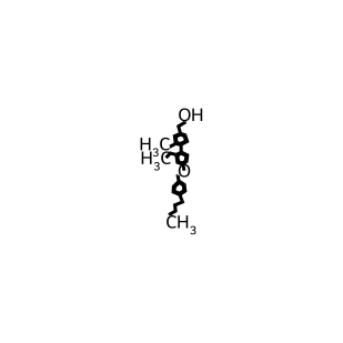 CCCCCc1ccc(COc2ccc(-c3ccc(CCO)cc3CC)c(CC)c2)cc1